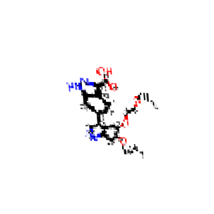 COCCOc1cc2c(-c3ccc4c(C(=O)O)n[nH]c4c3)cnnc2cc1OC